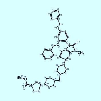 Cn1c(=O)n(-c2ccc(OCc3ccccc3)nc2OCc2ccccc2)c2ccc(N3CCC(CC4CCN([C@@H]5CCN(C(=O)OC(C)(C)C)C5)CC4)CC3)cc21